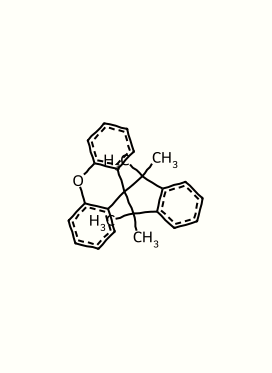 CC1(C)c2ccccc2C(C)(C)C12c1ccccc1Oc1ccccc12